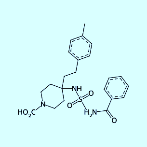 Cc1ccc(CCC2(NS(C)(=O)=O)CCN(C(=O)O)CC2)cc1.NC(=O)c1ccccc1